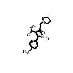 CCCC(=O)c1c(-c2ccc(C)cc2)noc1CN1CCCC1.Cl